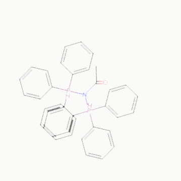 CC(=O)N([PH](c1ccccc1)(c1ccccc1)c1ccccc1)[PH](c1ccccc1)(c1ccccc1)c1ccccc1